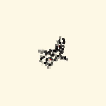 Cc1nc(C2=CC3CCC(C2)N3C(=O)OC(C)(C)C)cc2c(N[C@H](C)c3cccc(C(F)F)c3F)ccnc12